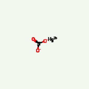 O=[Si]([O-])[O-].[Hg+2]